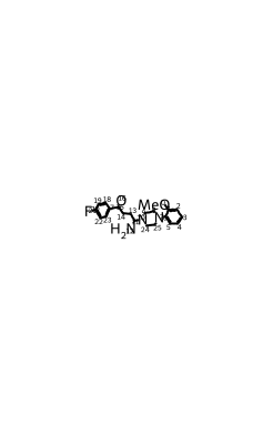 COc1ccccc1N1CCN(C(N)CCC(=O)c2ccc(F)cc2)CC1